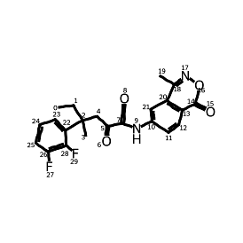 CCC(C)(CC(=O)C(=O)Nc1ccc2c(=O)onc(C)c2c1)c1cccc(F)c1F